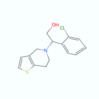 OCC(c1ccccc1Cl)N1CCc2sccc2C1